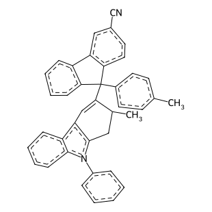 Cc1ccc(C2(C3=Cc4c(n(-c5ccccc5)c5ccccc45)CC3C)c3ccccc3-c3cc(C#N)ccc32)cc1